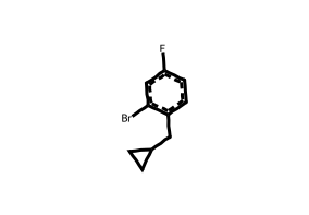 Fc1ccc(CC2CC2)c(Br)c1